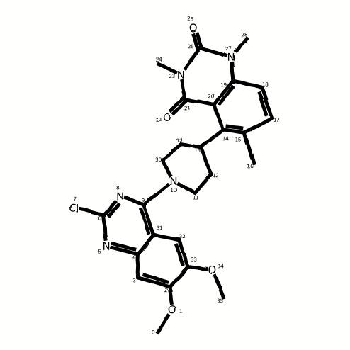 COc1cc2nc(Cl)nc(N3CCC(c4c(C)ccc5c4c(=O)n(C)c(=O)n5C)CC3)c2cc1OC